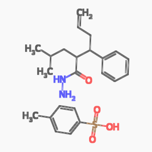 C=CCC(c1ccccc1)C(CC(C)C)C(=O)NN.Cc1ccc(S(=O)(=O)O)cc1